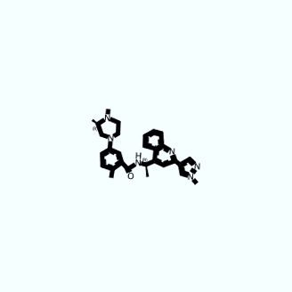 Cc1ccc(N2CCN(C)[C@H](C)C2)cc1C(=O)N[C@H](C)c1cc(-c2cnn(C)c2)nc2ccccc12